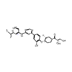 N#Cc1cc(-c2ncnc(N/C(C=N)=C/NC(F)F)n2)ccc1O[C@H]1CCN(C(=O)[C@@H](O)CO)C[C@H]1F